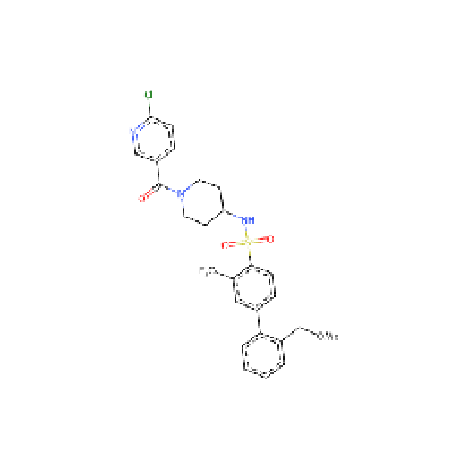 COCc1ccccc1-c1ccc(S(=O)(=O)NC2CCN(C(=O)c3ccc(Cl)nc3)CC2)c(C(F)(F)F)c1